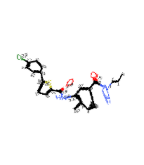 CCCNC(=O)c1ccc(C)c(NC(=O)c2ccc(-c3ccc(Cl)cc3)s2)c1